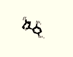 CCc1csc(-c2cc(N)ccc2N)c1